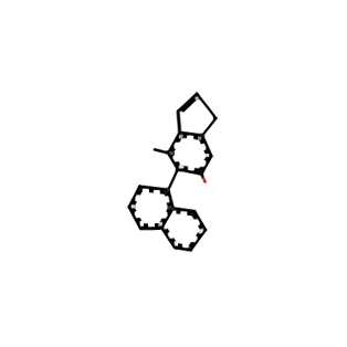 Cc1c2c(cc(Br)c1-c1cccc3ccccc13)CC=C2